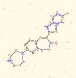 Cc1cn2cc(C3=Cc4ccc(N5CCCNCC5)cc4CCC3=O)nc2cn1